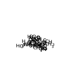 CC(=O)O[C@@]12CO[C@@H]1CC[C@@]1(C)[C@@H]3O[C@H](CN4CC[C@H]4CO)O[C@@H]3C3=C(C)[C@@H](OC(=O)[C@H](O)[C@@H](NC(=O)OC(C)(C)C)c4ccccc4F)C[C@@](O)([C@@H](OC(=O)c4ccccc4)[C@@H]12)C3(C)C